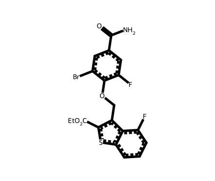 CCOC(=O)c1sc2cccc(F)c2c1COc1c(F)cc(C(N)=O)cc1Br